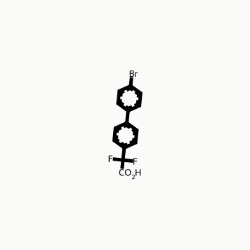 O=C(O)C(F)(F)c1ccc(-c2ccc(Br)cc2)cc1